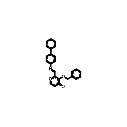 O=c1ccoc(C=Nc2ccc(-c3ccccc3)cc2)c1OCc1ccccc1